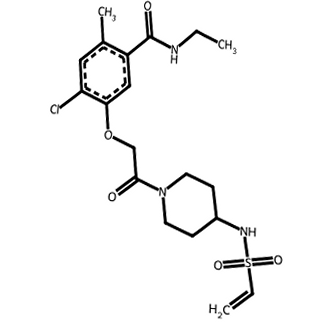 C=CS(=O)(=O)NC1CCN(C(=O)COc2cc(C(=O)NCC)c(C)cc2Cl)CC1